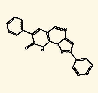 O=c1[nH]c2c(cnc3cc(-c4ccncc4)nn32)cc1-c1ccccc1